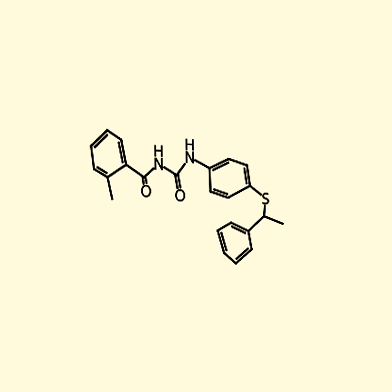 Cc1ccccc1C(=O)NC(=O)Nc1ccc(SC(C)c2ccccc2)cc1